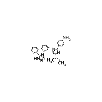 CCC(C)c1nc(-c2ccc(N)cc2)n(Cc2ccc(-c3ccccc3-c3nnn[nH]3)cc2)n1